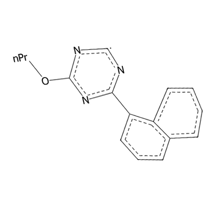 CCCOc1n[c]nc(-c2cccc3ccccc23)n1